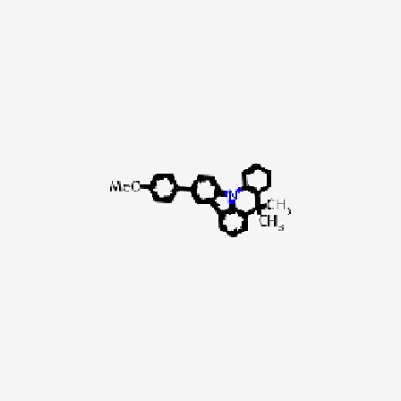 COc1ccc(-c2ccc3c(c2)c2cccc4c2n3C2=C(CCC=C2)C4(C)C)cc1